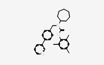 Cc1cc(C)c(NC(=O)N(Cc2ccc(-c3cccnc3)cc2)C2CCCCCC2)c(C)c1